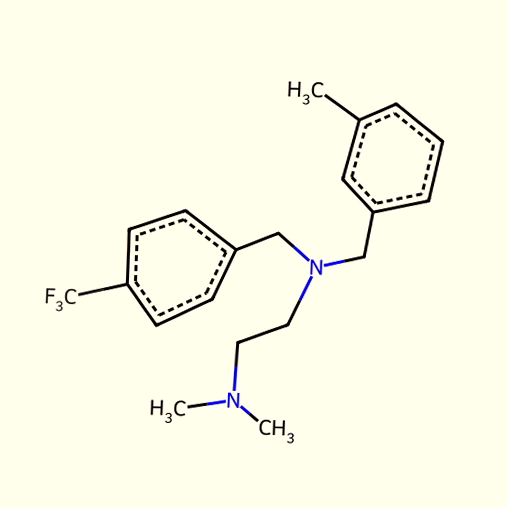 Cc1cccc(CN(CCN(C)C)Cc2ccc(C(F)(F)F)cc2)c1